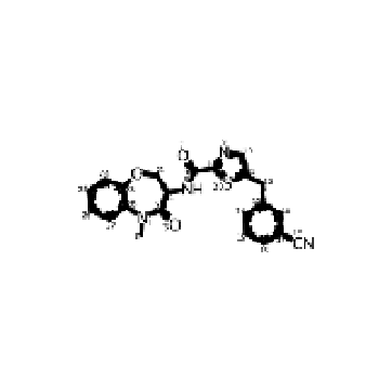 CN1C(=O)C(NC(=O)c2ncc(Cc3cccc(C#N)c3)s2)COc2ccccc21